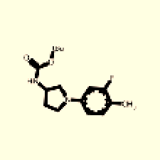 Cc1ccc(N2CCC(NC(=O)OC(C)(C)C)C2)cc1F